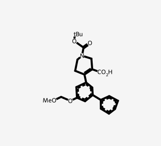 COCOc1cc(C2=C(C(=O)O)CN(C(=O)OC(C)(C)C)CC2)cc(-c2ccccc2)c1